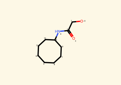 [O]CC(=O)NC1CCCCCCC1